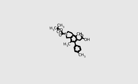 Cc1ccc(-c2c(C)c3c(c(C)c2CC(=O)O)CCN(C(=O)OC(C)(C)C)C3)cc1